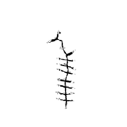 O=C(O)CNC(=O)C(F)(F)C(F)(F)C(F)(F)C(F)(F)C(F)(F)C(F)(F)C(F)(F)F